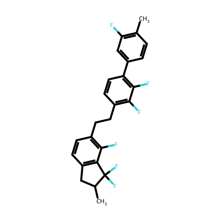 Cc1ccc(-c2ccc(CCc3ccc4c(c3F)C(F)(F)C(C)C4)c(F)c2F)cc1F